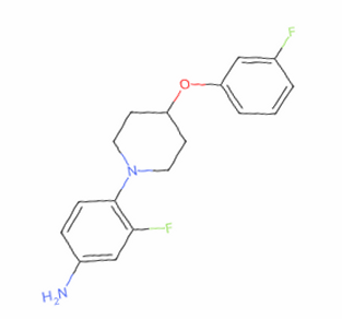 Nc1ccc(N2CCC(Oc3cccc(F)c3)CC2)c(F)c1